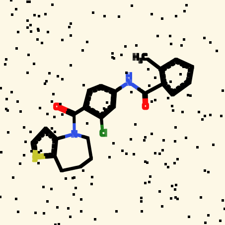 Cc1ccccc1C(=O)Nc1ccc(C(=O)N2CCCCc3sccc32)c(Cl)c1